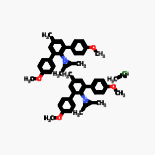 COc1ccc(-c2cc(C)cc(-c3ccc(OC)cc3)c2N2C(C)C2C)cc1.COc1ccc(-c2cc(C)cc(-c3ccc(OC)cc3)c2N2C(C)C2C)cc1.[CH3][Pd+].[Cl-]